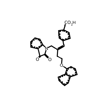 O=C(O)c1ccc(C=C(CCOc2cccc3ccccc23)CN2C(=O)C(=O)c3ccccc32)cc1